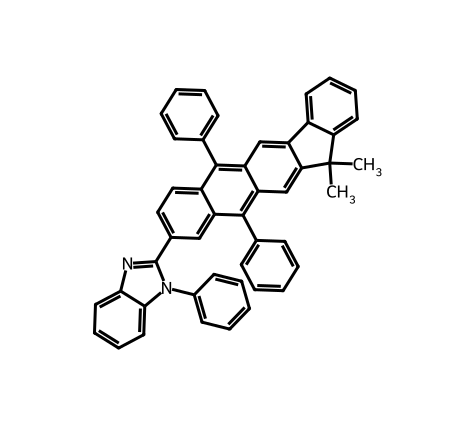 CC1(C)c2ccccc2-c2cc3c(-c4ccccc4)c4ccc(-c5nc6ccccc6n5-c5ccccc5)cc4c(-c4ccccc4)c3cc21